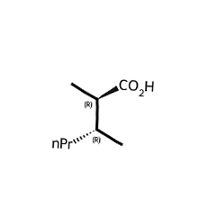 CCC[C@@H](C)[C@@H](C)C(=O)O